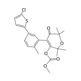 COC(=O)OC1=C(c2cc(-c3ccc(Cl)s3)ccc2C)C(=O)C(C)(C)OC1(C)C